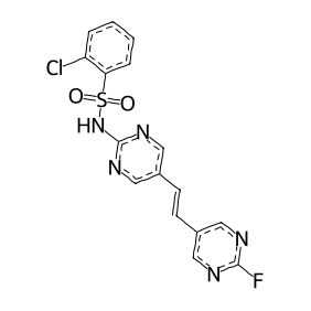 O=S(=O)(Nc1ncc(C=Cc2cnc(F)nc2)cn1)c1ccccc1Cl